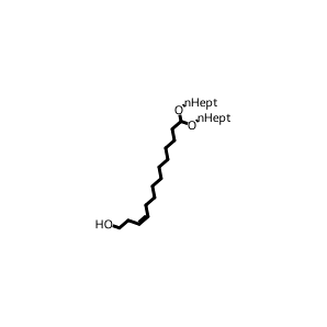 CCCCCCCOC(CCCCCCCCC/C=C\CCO)OCCCCCCC